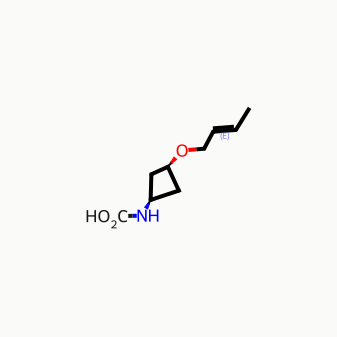 C/C=C/CO[C@H]1C[C@@H](NC(=O)O)C1